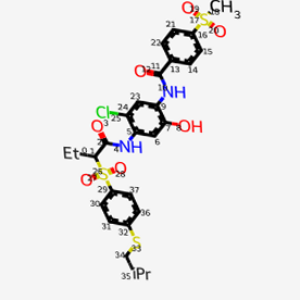 CCC(C(=O)Nc1cc(O)c(NC(=O)c2ccc(S(C)(=O)=O)cc2)cc1Cl)S(=O)(=O)c1ccc(SCC(C)C)cc1